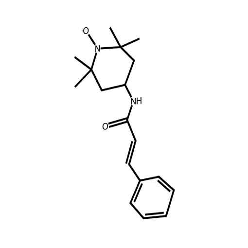 CC1(C)CC(NC(=O)C=Cc2ccccc2)CC(C)(C)N1[O]